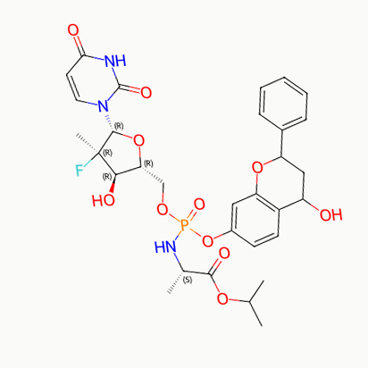 CC(C)OC(=O)[C@H](C)NP(=O)(OC[C@H]1O[C@@H](n2ccc(=O)[nH]c2=O)[C@](C)(F)[C@@H]1O)Oc1ccc2c(c1)OC(c1ccccc1)CC2O